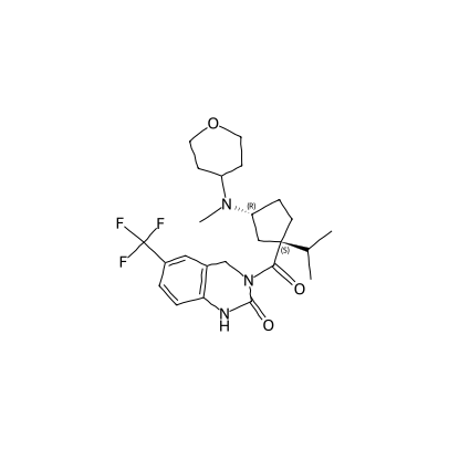 CC(C)[C@]1(C(=O)N2Cc3cc(C(F)(F)F)ccc3NC2=O)CC[C@@H](N(C)C2CCOCC2)C1